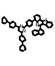 c1ccc(-c2ccc(-c3cc(-c4ccc(-c5ccccc5)cc4)nc(-c4ccc(-c5cccc6c5nc(-c5cccc7ccccc57)c5c7ccccc7sc65)cc4)n3)cc2)cc1